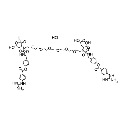 Cl.N=C(N)Nc1ccc(C(=O)Oc2ccc(CNS(=O)(=O)N(CCOCCOCCOCCOCCOCCOCCN([C@@H](CC(=O)O)C(=O)O)S(=O)(=O)NCc3ccc(OC(=O)c4ccc(NC(=N)N)cc4)cc3)[C@@H](CC(=O)O)C(=O)O)cc2)cc1